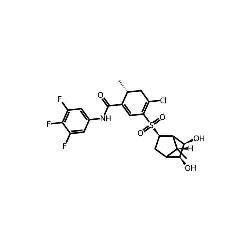 C[C@H]1C2[C@@H](O)[C@@H](O)C1C[C@H]2S(=O)(=O)C1=C(Cl)C[C@@H](C)C(C(=O)Nc2cc(F)c(F)c(F)c2)=C1